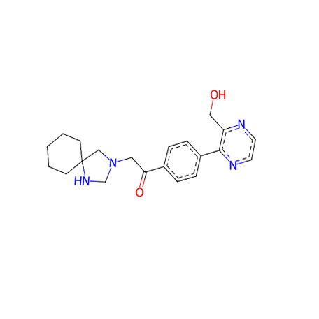 O=C(CN1CNC2(CCCCC2)C1)c1ccc(-c2nccnc2CO)cc1